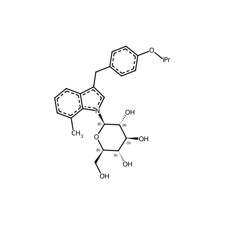 Cc1cccc2c(Cc3ccc(OC(C)C)cc3)cn([C@@H]3O[C@H](CO)[C@@H](O)[C@H](O)[C@H]3O)c12